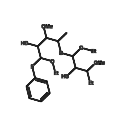 CCOC(OC(C)C(OC)C(O)C(OCC)Sc1ccccc1)C(O)C(CC)OC